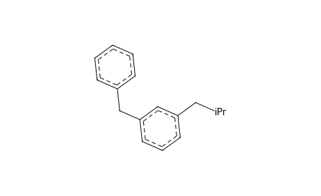 CC(C)Cc1cccc(Cc2ccccc2)c1